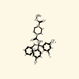 CC(C)(C)OC(=O)N1CCN(C(=O)N[C@](Cc2ccccc2)(c2cc(F)cc(C(F)(F)F)c2)c2ccc(Cl)cn2)CC1